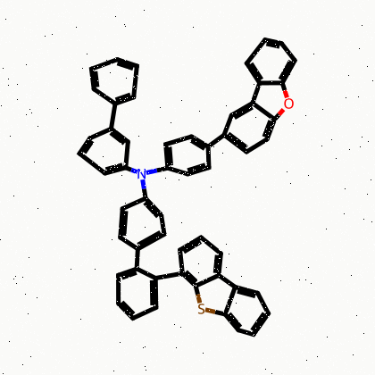 c1ccc(-c2cccc(N(c3ccc(-c4ccc5oc6ccccc6c5c4)cc3)c3ccc(-c4ccccc4-c4cccc5c4sc4ccccc45)cc3)c2)cc1